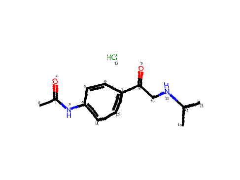 CC(=O)Nc1ccc(C(=O)CNC(C)C)cc1.Cl